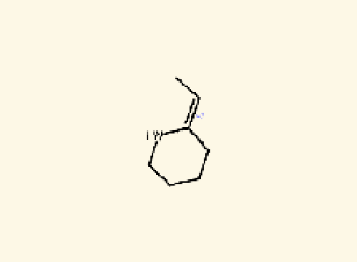 C/C=C1/CCCCN1